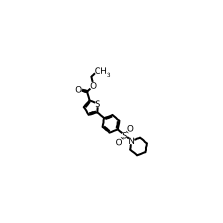 CCOC(=O)c1ccc(-c2ccc(S(=O)(=O)N3CCCCC3)cc2)s1